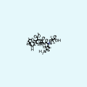 COC(=O)C1=C(C[N+]23CCC[C@H]2CNCC3)CS[C@@H]2[C@H](NC(=O)/C(=N\OC(C)(C)C(=O)O)c3csc(N)n3)C(=O)N12